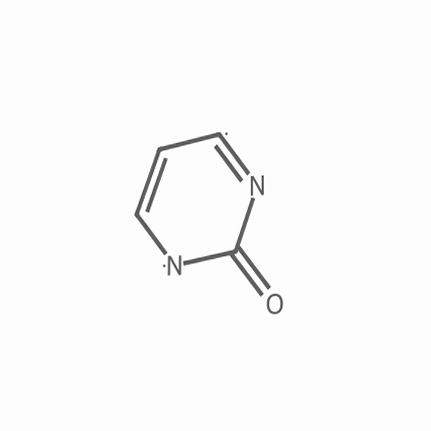 O=C1[N]C=C[C]=N1